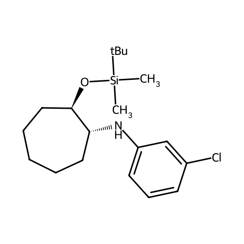 CC(C)(C)[Si](C)(C)O[C@@H]1CCCCC[C@H]1Nc1cccc(Cl)c1